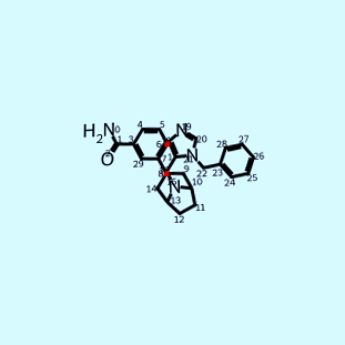 NC(=O)c1cccc(C2CC3CCC(C2)N3Cc2cncn2Cc2ccccc2)c1